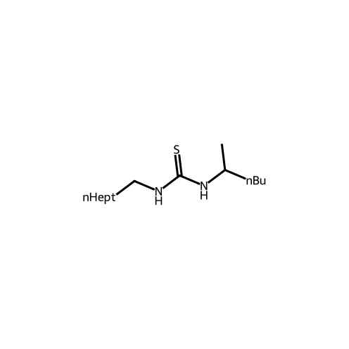 CCCCCCCCNC(=S)NC(C)CCCC